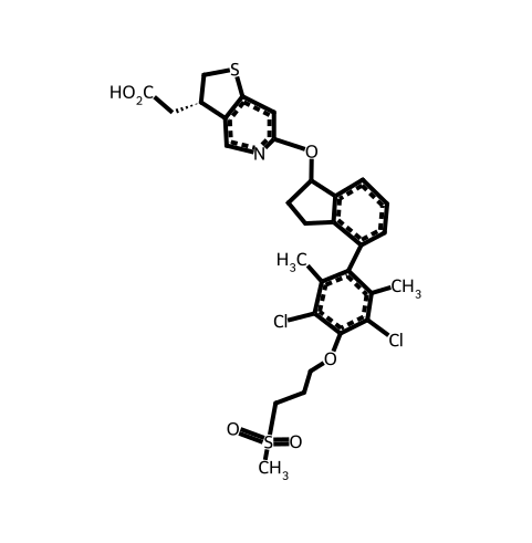 Cc1c(Cl)c(OCCCS(C)(=O)=O)c(Cl)c(C)c1-c1cccc2c1CCC2Oc1cc2c(cn1)[C@H](CC(=O)O)CS2